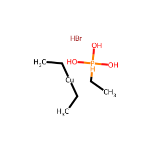 Br.CC[PH](O)(O)O.C[CH2][Cu][CH2]C